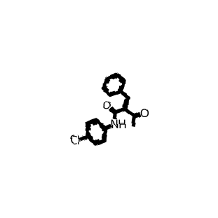 CC(=O)C(=Cc1ccccc1)C(=O)Nc1ccc(Cl)cc1